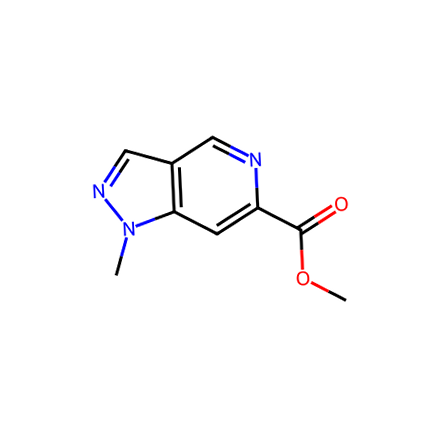 COC(=O)c1cc2c(cn1)cnn2C